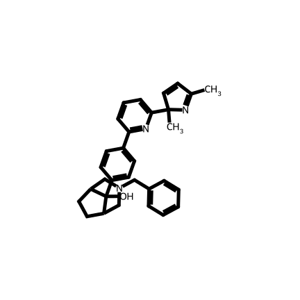 CC1=NC(C)(c2cccc(-c3ccc(C4(O)C5CCC4CN(Cc4ccccc4)C5)cc3)n2)C=C1